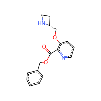 O=C(OCc1ccccc1)c1ncccc1OC[C@H]1CCN1